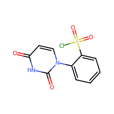 O=c1ccn(-c2ccccc2S(=O)(=O)Cl)c(=O)[nH]1